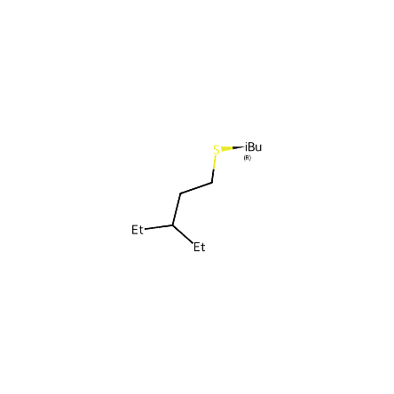 CCC(CC)CCS[C@H](C)CC